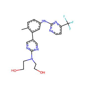 Cc1ccc(Nc2nccc(C(F)(F)F)n2)cc1-c1cnc(N(CCO)CCO)nc1